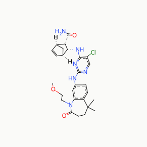 COCCN1C(=O)CCC(C)(C)c2ccc(Nc3ncc(Cl)c(N[C@H]4[C@@H](C(N)=O)[C@@H]5C=C[C@H]4C5)n3)cc21